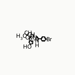 CC(C)(C)OC(=O)N1C[C@H](O)C[C@H]1c1ncc(-c2ccc(Br)cc2)[nH]1